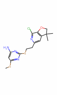 CSc1cc(N)nc(SCCc2cc3c(c(Cl)n2)OCC3(C)C)n1